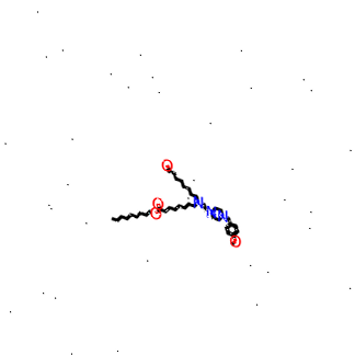 CCCCCCCCCOC(=O)CCCCCCCN(CCCCCCCC=O)CCN1CCN(Cc2ccc(OC)cc2)CC1